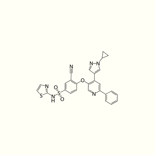 N#Cc1cc(S(=O)(=O)Nc2nccs2)ccc1Oc1cnc(-c2ccccc2)cc1-c1cnn(C2CC2)c1